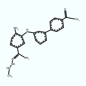 CNN/N=C(\N)c1ccc(N)c(Nc2cccc(-c3ccc(C(C)=O)cc3)c2)c1